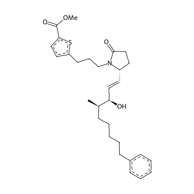 COC(=O)c1ccc(CCCN2C(=O)CC[C@@H]2/C=C/[C@@H](O)[C@H](C)CCCCCc2ccccc2)s1